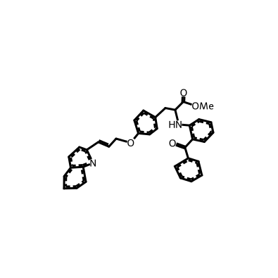 COC(=O)C(Cc1ccc(OCC=Cc2ccc3ccccc3n2)cc1)Nc1ccccc1C(=O)c1ccccc1